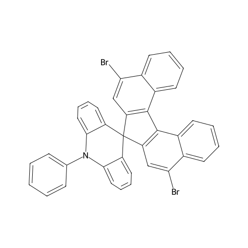 Brc1cc2c(c3ccccc13)-c1c(cc(Br)c3ccccc13)C21c2ccccc2N(c2ccccc2)c2ccccc21